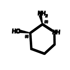 N[C@@H]1NCCC[C@@H]1O